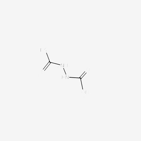 O=C(O)NNC(=S)S